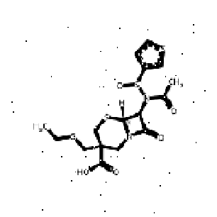 CCSCC1(C(=O)O)CS[C@@H]2C(N(C(C)=O)[S+]([O-])c3ccsc3)C(=O)N2C1